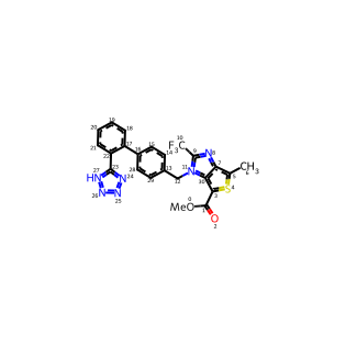 COC(=O)c1sc(C)c2nc(C(F)(F)F)n(Cc3ccc(-c4ccccc4-c4nnn[nH]4)cc3)c12